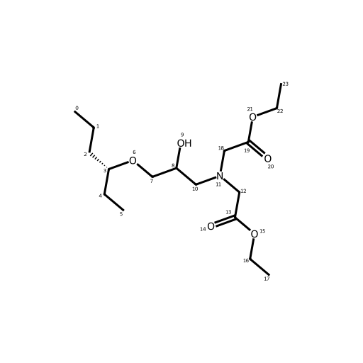 CCC[C@@H](CC)OCC(O)CN(CC(=O)OCC)CC(=O)OCC